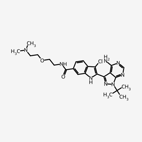 CN(C)CCOCCNC(=O)c1ccc2c(Cl)c(-c3nn(C(C)(C)C)c4ncnc(N)c34)[nH]c2c1